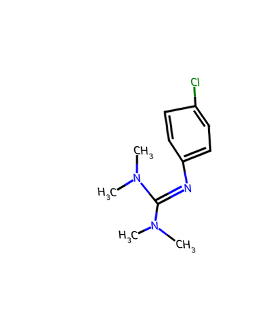 CN(C)C(=Nc1ccc(Cl)cc1)N(C)C